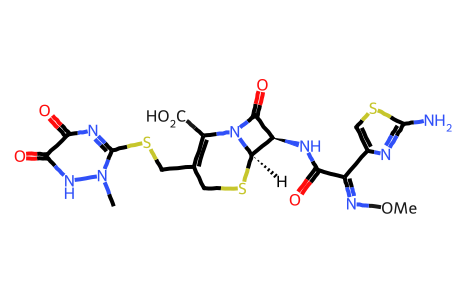 CO/N=C(/C(=O)N[C@@H]1C(=O)N2C(C(=O)O)=C(CSc3nc(=O)c(=O)[nH]n3C)CS[C@H]12)c1csc(N)n1